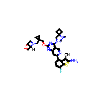 CN(C)C1(CNc2nc(OCC3(CN4CC5OC[C@H]54)CC3)nc3cc(-c4ccc(F)c5sc(N)c(C#N)c45)ncc23)CCC1